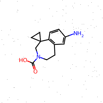 Nc1ccc2c(c1)CCN(C(=O)O)CC21CC1